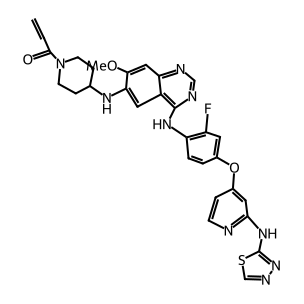 C=CC(=O)N1CCC(Nc2cc3c(Nc4ccc(Oc5ccnc(Nc6nncs6)c5)cc4F)ncnc3cc2OC)CC1